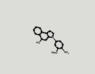 COc1cc(-n2[c]cc3c4ccccc4c(O)cc32)ccc1N